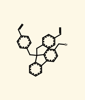 C=Cc1ccc(CC2(Cc3ccc(C=C)cc3)c3ccccc3-c3ccc(CBr)cc32)cc1